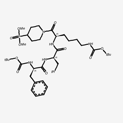 COP(=O)(OC)C1CCN(C(=O)[C@@H](CCCCNC(=O)OC(C)(C)C)NC(=O)[C@@H](CC(C)C)NC(=O)[C@@H](Cc2ccccc2)NC(=O)OC(C)(C)C)CC1